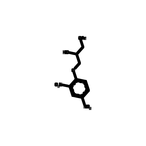 CC(=O)OCC(O)COc1ccc([N+](=O)[O-])cc1[N+](=O)[O-]